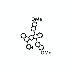 COc1ccc2cc(-c3c4ccccc4c(-c4ccc5cc(OC)ccc5c4)c4cc5c(cc34)c(-c3cccnc3)cc3ccccc35)ccc2c1